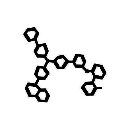 Cc1ccccc1-c1ccccc1Oc1cccc(-c2ccc(N(c3ccc(-c4ccccc4)cc3)c3ccc(-c4cccc5ccccc45)cc3)cc2)c1